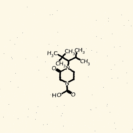 CC(C)C(N1CCN(C(=O)O)CC1=O)C(C)(C)C